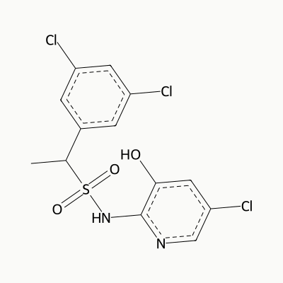 CC(c1cc(Cl)cc(Cl)c1)S(=O)(=O)Nc1ncc(Cl)cc1O